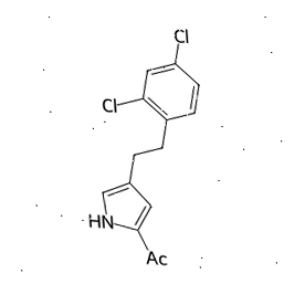 CC(=O)c1cc(CCc2ccc(Cl)cc2Cl)c[nH]1